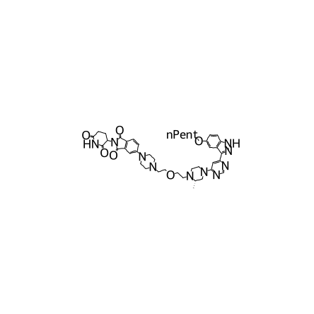 CCCCCOc1ccc2[nH]nc(-c3cc(N4CCN(CCOCCN5CCN(c6ccc7c(c6)C(=O)N(C6CCC(=O)NC6=O)C7=O)CC5)[C@@H](C)C4)ncn3)c2c1